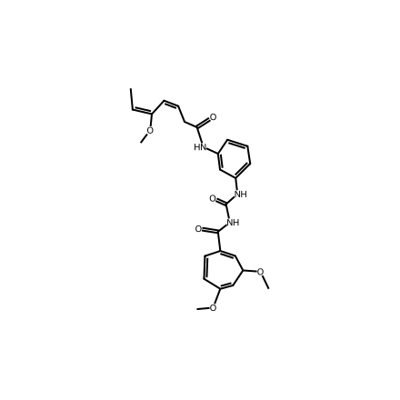 C/C=C(\C=C/CC(=O)Nc1cccc(NC(=O)NC(=O)C2=CC(OC)C=C(OC)C=C2)c1)OC